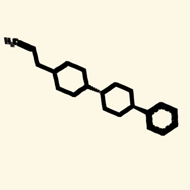 C=CCC1CCC([C@H]2CC[C@H](c3ccccc3)CC2)CC1